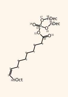 CCCCCCCC/C=C\CCCCCCCC(=O)OP(=O)(OCCCCCCCCCC)OCCCCCCCCCC